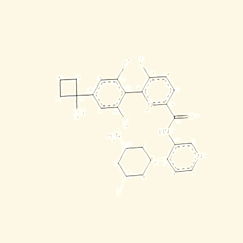 C[C@@H]1C[C@H](N)C[C@H](c2ccncc2NC(=O)c2ccc(F)c(-c3c(F)cc(C4(O)CCC4)cc3F)n2)C1